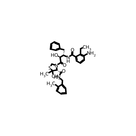 CCc1c(N)cccc1C(=O)N[C@@H](Cc1ccccc1)[C@H](O)C(=O)N1CSC(C)(C)[C@H]1C(=O)NCc1ccccc1C